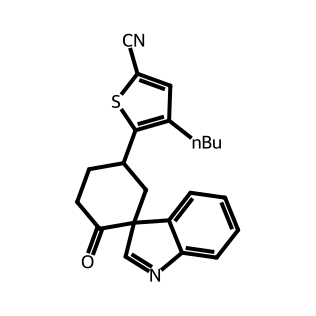 CCCCc1cc(C#N)sc1C1CCC(=O)C2(C=Nc3ccccc32)C1